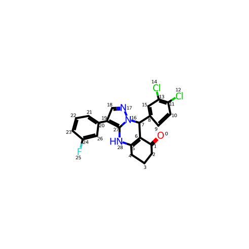 O=C1CCCC2=C1C(c1ccc(Cl)c(Cl)c1)n1ncc(-c3cccc(F)c3)c1N2